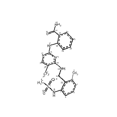 Cc1cccc(NS(C)(=O)=O)c1CNc1nc(Nc2ccccc2C(N)=O)ncc1C(F)(F)F